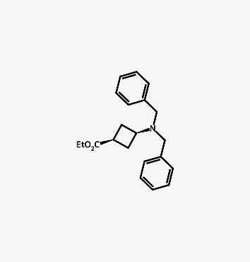 CCOC(=O)[C@H]1C[C@@H](N(Cc2ccccc2)Cc2ccccc2)C1